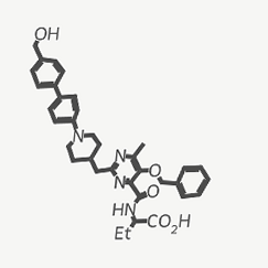 CCC(NC(=O)c1nc(CC2CCN(c3ccc(-c4ccc(CO)cc4)cc3)CC2)nc(C)c1OCc1ccccc1)C(=O)O